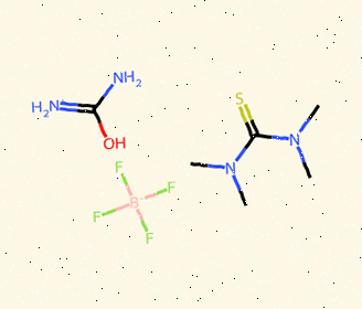 CN(C)C(=S)N(C)C.F[B-](F)(F)F.NC(=[NH2+])O